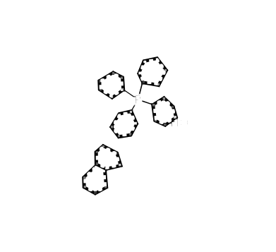 [OH-].c1ccc([P+](c2ccccc2)(c2ccccc2)c2ccccc2)cc1.c1ccc2ccccc2c1